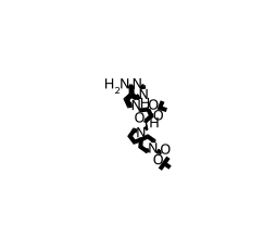 CC(C)(C)OC(=O)N1CCC2(CCCN2C[C@H]2O[C@@H](n3ccc4c(N)ncnc43)[C@@H]3OC(C)(C)O[C@@H]32)CC1